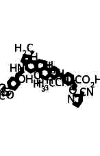 C=C[C@@H]1CC[C@]2(NCC[C@]3(O)CC[C@@H](S(C)(=O)=O)CC3)CC[C@]3(C)[C@H](CC[C@@H]4[C@@]5(C)CC=C(C6=CC[C@@](COc7ncccc7C#N)(C(=O)O)CC6)C(C)(C)[C@@H]5CC[C@]43C)[C@@H]12